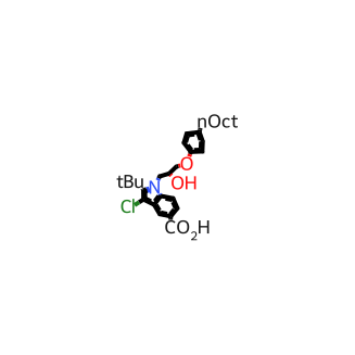 CCCCCCCCc1ccc(OCC(O)Cn2c(C(C)(C)C)c(Cl)c3cc(C(=O)O)ccc32)cc1